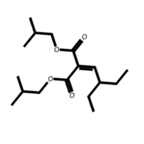 CCC(C=C(C(=O)OCC(C)C)C(=O)OCC(C)C)CC